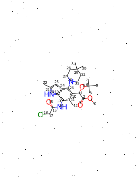 COC(=O)C(OC(C)(C)C)c1c(C)c(NC(=O)CCl)c2[nH]c(C)cc2c1N1CCC(C)(C)CC1